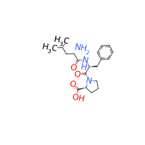 CC(C)C[C@H](N)C(=O)N[C@@H](Cc1ccccc1)C(=O)N1CCC[C@H]1C(=O)O